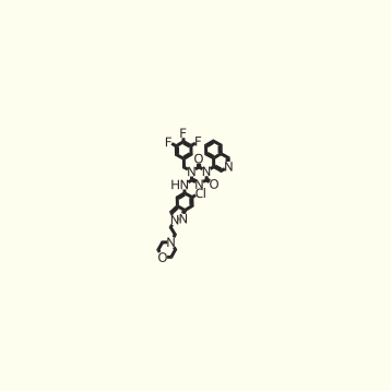 O=c1nc(Nc2cc3cn(CCN4CCOCC4)nc3cc2Cl)n(Cc2cc(F)c(F)c(F)c2)c(=O)n1-c1cncc2ccccc12